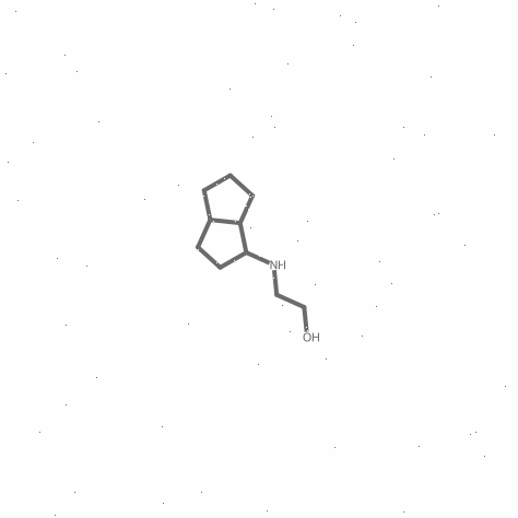 OCCNC1CCC2CCCC21